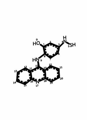 Oc1cc(NS)ccc1Nc1c2ccccc2nc2ccccc12